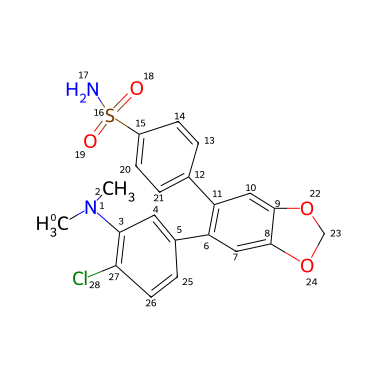 CN(C)c1cc(-c2cc3c(cc2-c2ccc(S(N)(=O)=O)cc2)OCO3)ccc1Cl